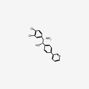 N[C@@H](c1ccc(Cl)c(Cl)c1)[C@H](O)c1ccc(-c2cccnc2)cc1